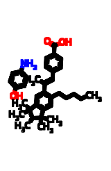 CCCCCc1cc2c(cc1C(C)=Cc1ccc(C(=O)O)cc1)C(C)(C)C(C)C2(C)C.Nc1ccc(O)cc1